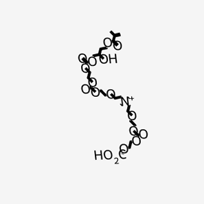 C=C(C)C(=O)OCCC(O)COC(=O)OCCOC(=O)OCCOCC[N+](C)(C)CCOCCOC(=O)OCCOC(=O)O